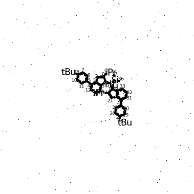 CC(C)C1=Cc2c(-c3ccc(C(C)(C)C)cc3)cccc2[CH]1[Hf]([CH]1C(C(C)C)=Cc2c(-c3ccc(C(C)(C)C)cc3)cccc21)[SiH](C)C